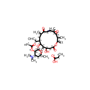 CCC(=O)O.CCCC(=O)O[C@H]1[C@H](OC2C(CC=O)CC(C)C(=O)/C=C/C3(C)OC3C(C)C(CC)OC(=O)CC(O)C2C)O[C@H](C)C[C@@H]1N(C)C